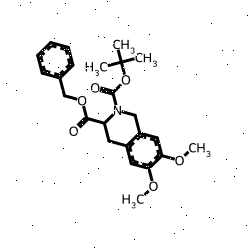 COc1cc2c(cc1OC)CN(C(=O)OC(C)(C)C)C(C(=O)OCc1ccccc1)C2